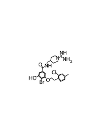 Cc1ccc(CCOc2cc(C(=O)NCC3CCN(C(=N)N)CC3)cc(O)c2Br)c(Cl)c1